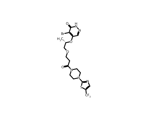 C[C@@H](COCCC(=O)N1CCN(c2ncc(C(F)(F)F)s2)CC1)Oc1cn[nH]c(=O)c1Br